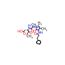 CCC(=O)[C@H](CC(=O)O)NC(=O)[C@H](C)NC(=O)[C@@H](NC(=O)CCc1ccccc1)C(C)C